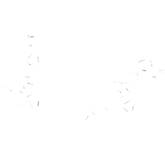 Cc1ncsc1-c1ccc(CNC(=O)[C@@H]2C[C@@H](O)CN2C(=O)[C@@H](NC(=O)CCCCCCCCC(=O)N2CCN(CC[C@H](NC(=O)C3(N)CCN(c4ncnc5[nH]ccc45)CC3)c3ccc(Cl)cc3)CC2)C(C)(C)C)cc1